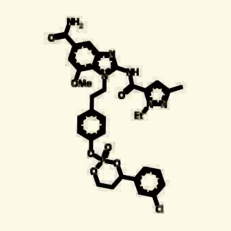 CCn1nc(C)cc1C(=O)Nc1nc2cc(C(N)=O)cc(OC)c2n1CCc1ccc(OP2(=O)OCCC(c3cccc(Cl)c3)O2)cc1